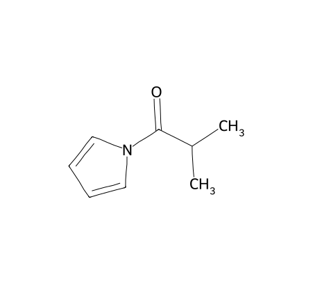 CC(C)C(=O)n1cccc1